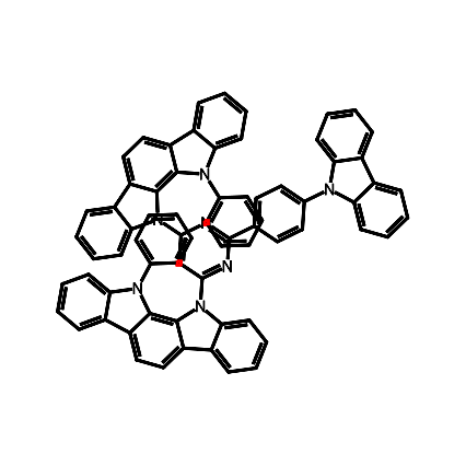 c1ccc(-n2c3ccccc3c3ccc4c5ccccc5n(-c5cc(-n6c7ccccc7c7ccc8c9ccccc9n(-c9ccccc9)c8c76)nc(-c6ccc(-n7c8ccccc8c8ccccc87)cc6)n5)c4c32)cc1